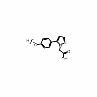 COc1ccc(-c2ccnn2CC(=O)O)cc1